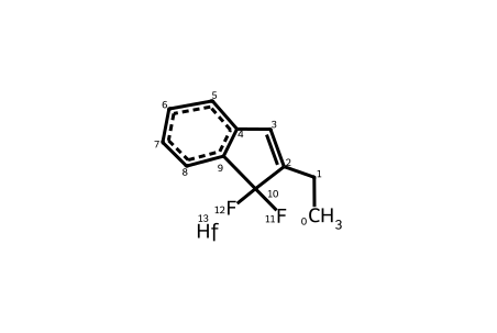 CCC1=Cc2ccccc2C1(F)F.[Hf]